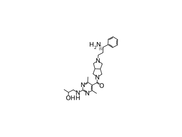 Cc1nc(NCC(C)O)nc(C)c1C(=O)N1CC2CN(CC[C@H](N)c3ccccc3)CC2C1